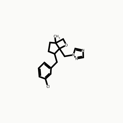 CC12CCC(Cc3cccc(Cl)c3)C1(Cn1cncn1)OC2